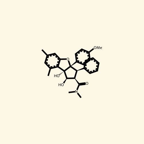 COc1ccc([C@]23Oc4cc(C)cc(C)c4[C@]2(O)[C@H](O)[C@H](C(=O)N(C)C)[C@@H]3c2ccccc2)cc1